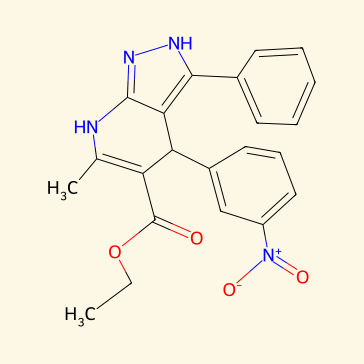 CCOC(=O)C1=C(C)Nc2n[nH]c(-c3ccccc3)c2C1c1cccc([N+](=O)[O-])c1